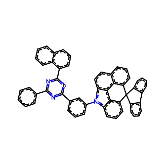 c1ccc(-c2nc(-c3cccc(-n4c5cccc6c5c5c7c(cccc7ccc54)C64c5ccccc5-c5ccccc54)c3)nc(-c3cccc4ccccc34)n2)cc1